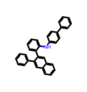 c1ccc(-c2ccc(Nc3ccccc3-c3cc4ccccc4cc3-c3ccccc3)cc2)cc1